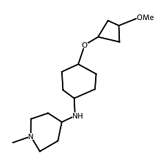 COC1CC(OC2CCC(NC3CCN(C)CC3)CC2)C1